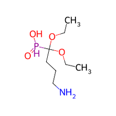 CCOC(CCCN)(OCC)[PH](=O)O